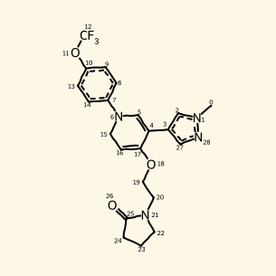 Cn1cc(C2=CN(c3ccc(OC(F)(F)F)cc3)CC=C2OCCN2CCCC2=O)cn1